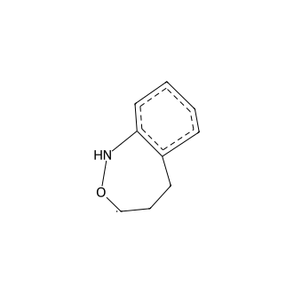 [CH]1CCc2ccccc2NO1